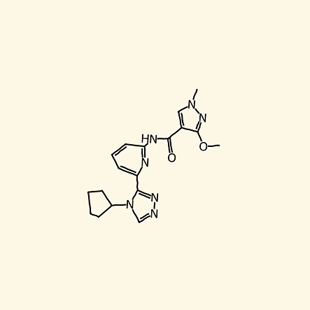 COc1nn(C)cc1C(=O)Nc1cccc(-c2nncn2C2CCCC2)n1